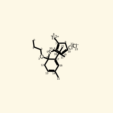 CCCOC1(SC2=[C]([Ti+2])CC=C2)CC=C(C)C=C1C(C)(C)C.[Cl-].[Cl-]